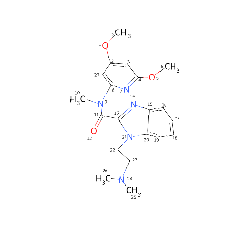 COc1cc(OC)nc(N(C)C(=O)c2nc3ccccc3n2CCN(C)C)c1